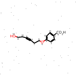 O=C(O)c1ccc(OCCC#CCCO)cc1